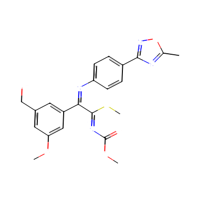 COC(=O)/N=C(SC)/C(=N\c1ccc(-c2noc(C)n2)cc1)c1cc(CO)cc(OC)c1